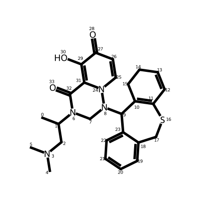 CC(CN(C)C)N1CN(C2C3=C(C=CCC3)SCc3ccccc32)n2ccc(=O)c(O)c2C1=O